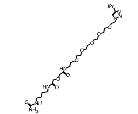 CC(C)c1cn(CCOCCOCCOCCOCCOCCNC(=O)COCC(=O)NCCCCNC(N)=O)nn1